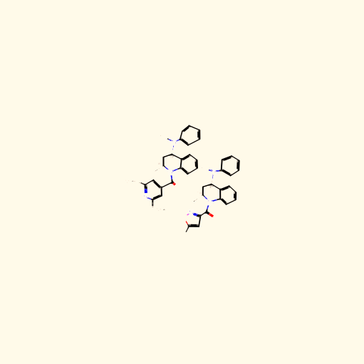 CCc1cc(C(=O)N2c3ccccc3[C@H](N(C(C)=O)c3ccccc3)C[C@@H]2C)no1.COc1cc(C(=O)N2c3ccccc3[C@H](N(C(C)=O)c3ccccc3)C[C@@H]2C)cc(OC)n1